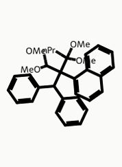 CCCC(OC)(OC)C(c1cccc2ccccc12)(C(OC)OC)C(c1ccccc1)c1ccccc1